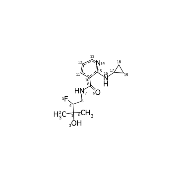 CC(C)(O)C(F)CNC(=O)c1cccnc1NC1CC1